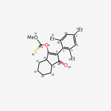 CCc1cc(CC)c(C2=C(OC(=S)OC)C3CCCCC3C2=O)c(CC)c1